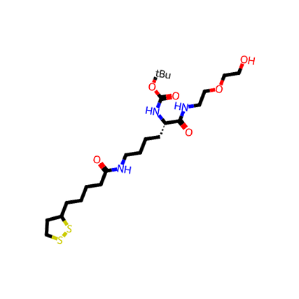 CC(C)(C)OC(=O)N[C@@H](CCCCNC(=O)CCCCC1CCSS1)C(=O)NCCOCCO